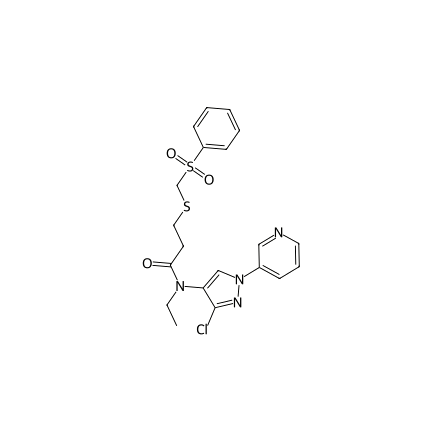 CCN(C(=O)CCSCS(=O)(=O)c1ccccc1)c1cn(-c2cccnc2)nc1Cl